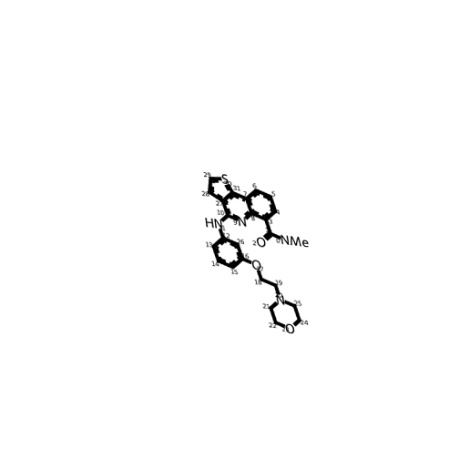 CNC(=O)c1cccc2c1nc(Nc1cccc(OCCN3CCOCC3)c1)c1ccsc12